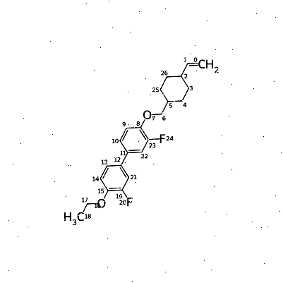 C=CC1CCC(COc2ccc(-c3ccc(OCC)c(F)c3)cc2F)CC1